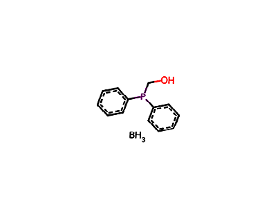 B.OCP(c1ccccc1)c1ccccc1